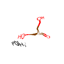 O=S(O)O.[PbH2]